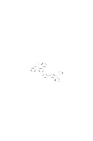 O=c1c2ccccc2c2cc(-c3cccc(-c4ccc5c(c4)c4ccccc4n5-c4ccccc4)c3)cc3c4ccccc4c(=O)n1c23